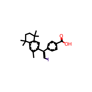 Cc1cc2c(cc1C(=CI)c1ccc(C(=O)O)cc1)C(C)(C)CCC2(C)C